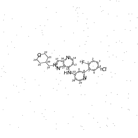 Fc1ccc(Cl)cc1-c1cc(Nc2ccnc3cn(CC4CCOCC4)nc23)ccn1